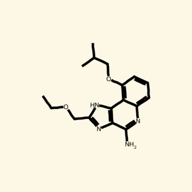 CCOCc1nc2c(N)nc3cccc(OCC(C)C)c3c2[nH]1